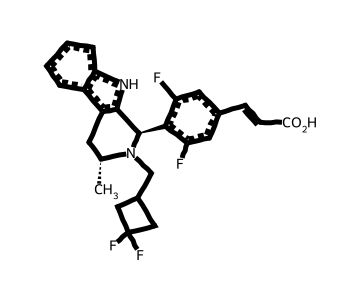 C[C@@H]1Cc2c([nH]c3ccccc23)[C@@H](c2c(F)cc(/C=C/C(=O)O)cc2F)N1CC1CC(F)(F)C1